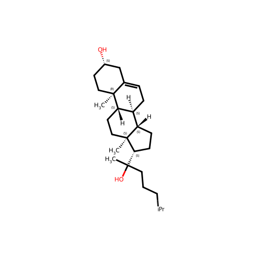 CC(C)CCCC(C)(O)[C@H]1CC[C@H]2[C@@H]3CC=C4C[C@@H](O)CC[C@]4(C)[C@H]3CC[C@]12C